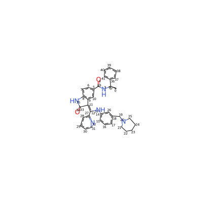 C[C@@H](NC(=O)c1ccc2c(c1)C(=C(Nc1cccc(CN3CCCCC3)c1)c1ccccn1)C(=O)N2)c1ccccc1